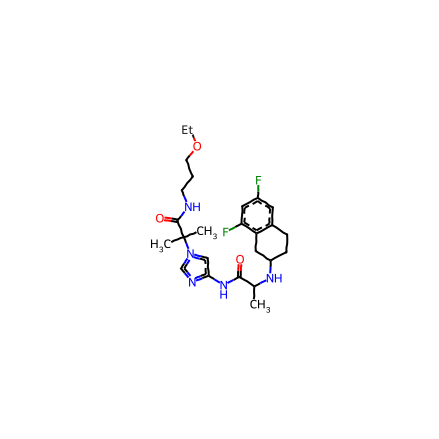 CCOCCCNC(=O)C(C)(C)n1cnc(NC(=O)C(C)NC2CCc3cc(F)cc(F)c3C2)c1